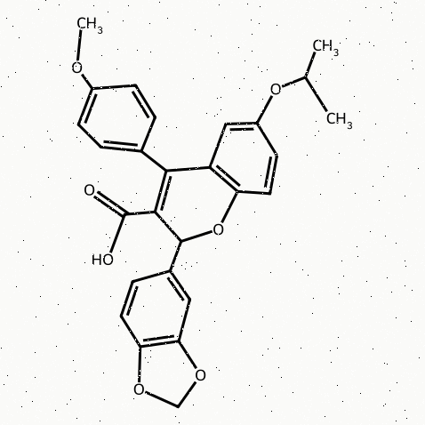 COc1ccc(C2=C(C(=O)O)C(c3ccc4c(c3)OCO4)Oc3ccc(OC(C)C)cc32)cc1